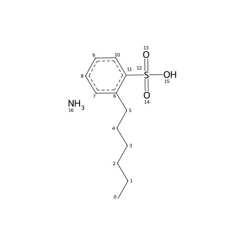 CCCCCCc1ccccc1S(=O)(=O)O.N